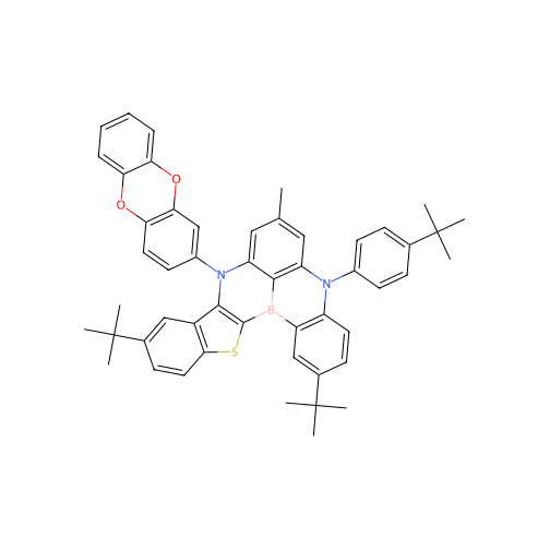 Cc1cc2c3c(c1)N(c1ccc4c(c1)Oc1ccccc1O4)c1c(sc4ccc(C(C)(C)C)cc14)B3c1cc(C(C)(C)C)ccc1N2c1ccc(C(C)(C)C)cc1